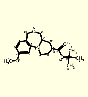 COc1ccc2c(c1)N1CCN(C(=O)OC(C)(C)C)CC1COC2